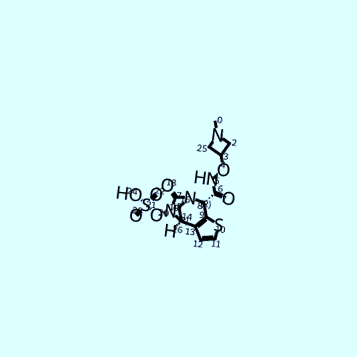 CN1CC(ONC(=O)[C@@H]2c3sccc3[C@@H]3CN2C(=O)N3OS(=O)(=O)O)C1